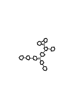 c1ccc(-c2ccc(-c3ccc(N(c4ccc(-c5ccccc5)cc4)c4ccc(-c5cc(-c6ccccc6)cc(-n6c7ccccc7c7ccccc76)c5)cc4)cc3)cc2)cc1